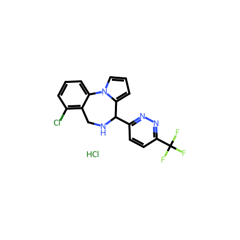 Cl.FC(F)(F)c1ccc(C2NCc3c(Cl)cccc3-n3cccc32)nn1